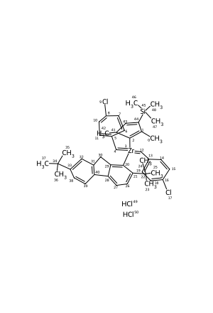 CC1=[C]([Zr](=[CH]c2ccc(Cl)cc2)(=[CH]c2ccc(Cl)cc2)[c]2c(C(C)(C)C)ccc3c2Cc2cc(C(C)(C)C)ccc2-3)C(C)C=C1[Si](C)(C)C.Cl.Cl